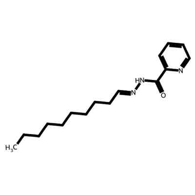 CCCCCCCCCC=NNC(=O)c1ccccn1